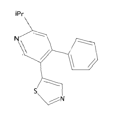 CC(C)c1cc(-c2ccccc2)c(-c2cncs2)[c]n1